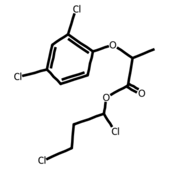 CC(Oc1ccc(Cl)cc1Cl)C(=O)OC(Cl)CCCl